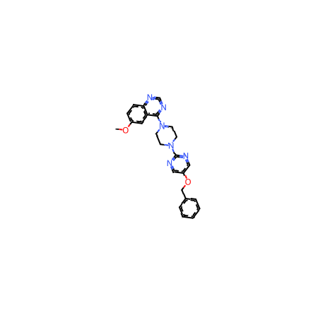 COc1ccc2ncnc(N3CCN(c4ncc(OCc5ccccc5)cn4)CC3)c2c1